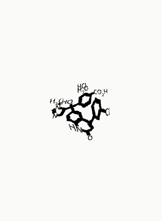 Cl.Cn1cncc1C(O)(c1ccc(C(=O)O)cc1)c1ccc2[nH]c(=O)cc(-c3cccc(Cl)c3)c2c1.O